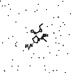 CCOC(=O)[C@H]1C[C@@H](N)CN1B(C)O